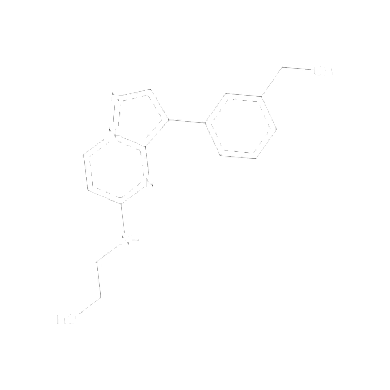 OCCNc1ccn2ncc(-c3cccc(CO)c3)c2n1